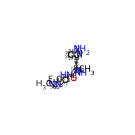 CN1CCN(Cc2ccc(NC(=O)C3C=C(C#Cc4cnc(N)c5ccccc45)N(C)N3)cc2C(F)(F)F)CC1